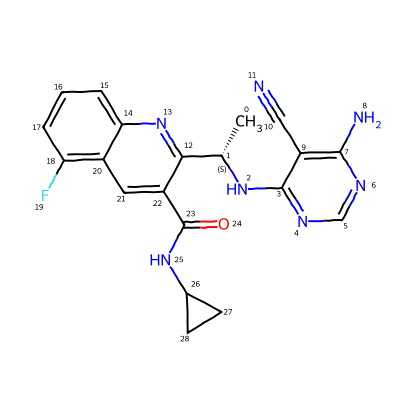 C[C@H](Nc1ncnc(N)c1C#N)c1nc2cccc(F)c2cc1C(=O)NC1CC1